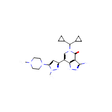 CN1CCN(c2cc(-c3cn(C(C4CC4)C4CC4)c(=O)c4c(N)n[nH]c34)nn2C)CC1